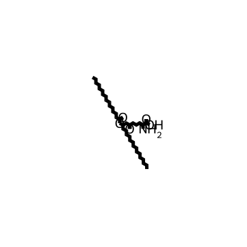 CCCCCCCCCCCCCCCC(=O)OC(CCCCCCCCCCCCCCC)CC(=O)CCCC(N)C(=O)O